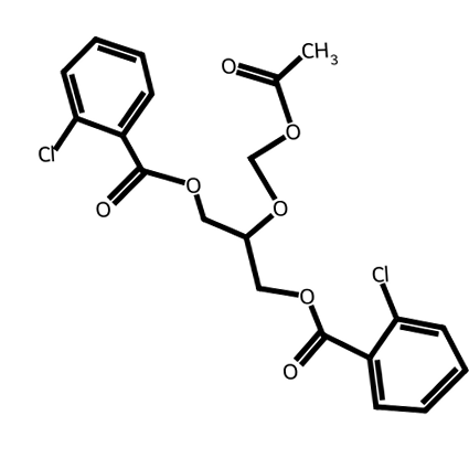 CC(=O)OCOC(COC(=O)c1ccccc1Cl)COC(=O)c1ccccc1Cl